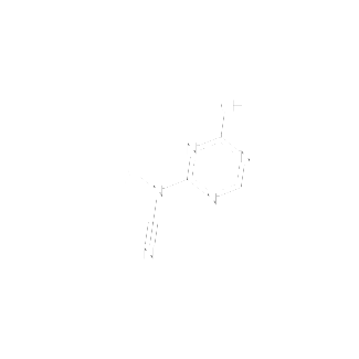 Cc1n[c]nc(N(C)C#N)n1